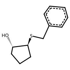 O[C@H]1CCC[C@@H]1SCc1ccccc1